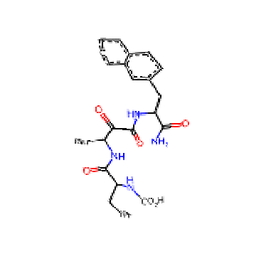 CCC(C)C(NC(=O)C(CC(C)C)NC(=O)O)C(=O)C(=O)NC(Cc1ccc2ccccc2c1)C(N)=O